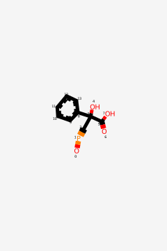 O=P#CC(O)(C(=O)O)c1ccccc1